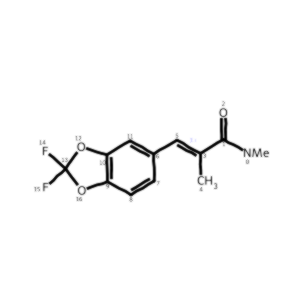 CNC(=O)/C(C)=C/c1ccc2c(c1)OC(F)(F)O2